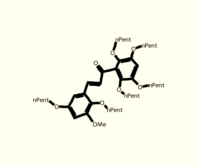 CCCCCOc1cc(C=CC(=O)c2c(OCCCCC)c(OCCCCC)cc(OCCCCC)c2OCCCCC)c(OCCCCC)c(OC)c1